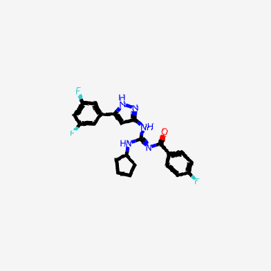 O=C(/N=C(\Nc1cc(-c2cc(F)cc(F)c2)[nH]n1)NC1CCCC1)c1ccc(F)cc1